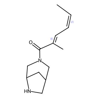 C/C=C\C=C(/C)C(=O)N1CC2CNC(C2)C1